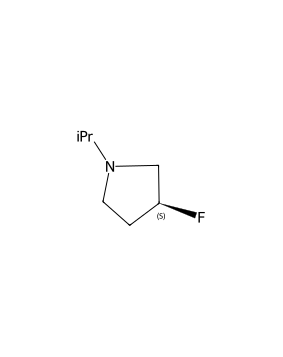 CC(C)N1CC[C@H](F)C1